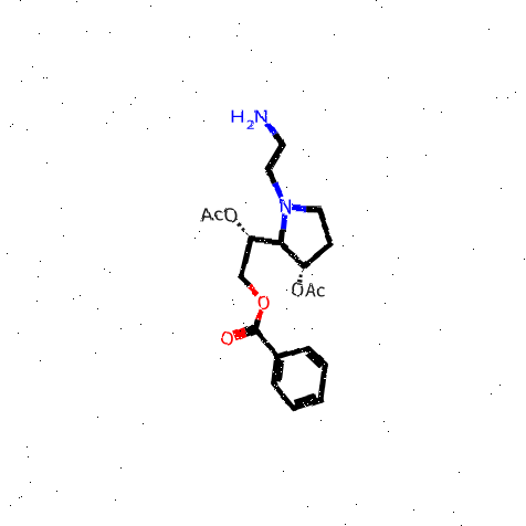 CC(=O)O[C@H]1CCN(CCN)C1[C@H](COC(=O)c1ccccc1)OC(C)=O